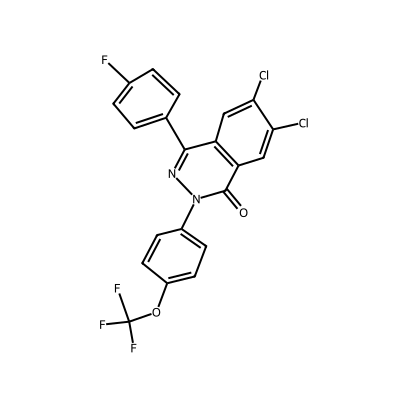 O=c1c2cc(Cl)c(Cl)cc2c(-c2ccc(F)cc2)nn1-c1ccc(OC(F)(F)F)cc1